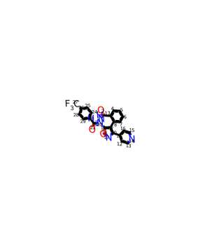 NC(=O)c1ccccc1-c1c(-c2ccncc2)noc1NC(=O)c1ccc(C(F)(F)F)cc1